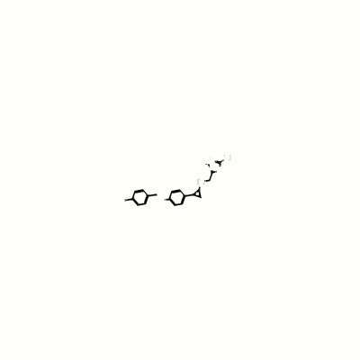 Nc1nnc(CNC2CC2c2ccc(OCc3ccc(Cl)cc3)cc2)o1